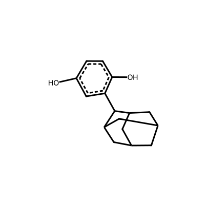 Oc1ccc(O)c(C2C3CC4CC(C3)CC2C4)c1